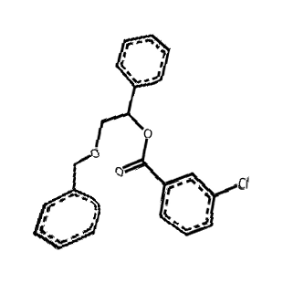 O=C(OC(COCc1ccccc1)c1ccccc1)c1cccc(Cl)c1